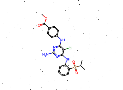 COC(=O)c1ccc(Nc2nc(N)nc(Nc3ccccc3S(=O)(=O)C(C)C)c2Cl)cc1